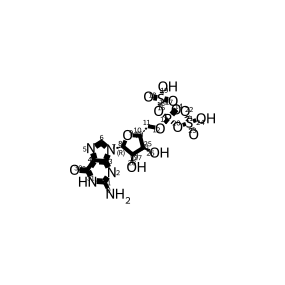 Nc1nc2c(ncn2[C@@H]2O[C@H](COP(=O)(OS(=O)(=O)O)OS(=O)(=O)O)[C@@H](O)[C@H]2O)c(=O)[nH]1